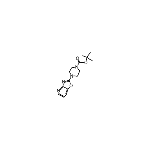 CC(C)(C)OC(=O)N1CCN(c2nc3ncccc3o2)CC1